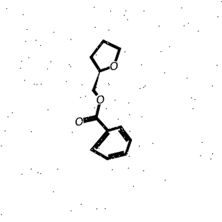 O=C(OC[C@H]1CCCO1)c1ccccc1